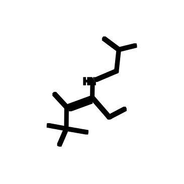 CC/C(NCC(C)C)=C(/C)C(C)(C)C